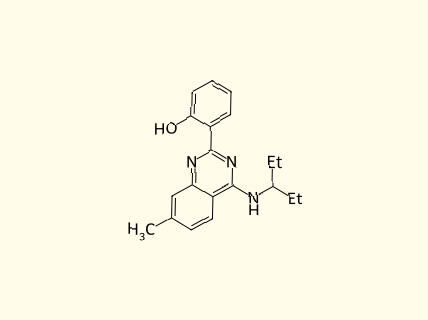 CCC(CC)Nc1nc(-c2ccccc2O)nc2cc(C)ccc12